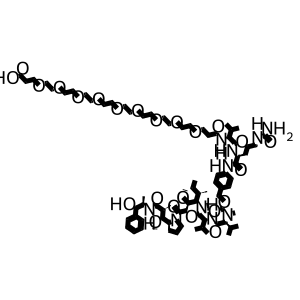 CC[C@H](C)[C@@H]([C@@H](CC(=O)N1CCC[C@H]1[C@H](OC)[C@@H](C)C(=O)N[C@H](C)[C@@H](O)c1ccccc1)OC)N(C)C(=O)[C@@H](NC(=O)[C@H](C(C)C)N(C)C(=O)OCc1ccc(NC(=O)[C@H](CCCNC(N)=O)NC(=O)[C@@H](NC(=O)CCOCCOCCOCCOCCOCCOCCOCCOCCOCCC(=O)O)C(C)C)cc1)C(C)C